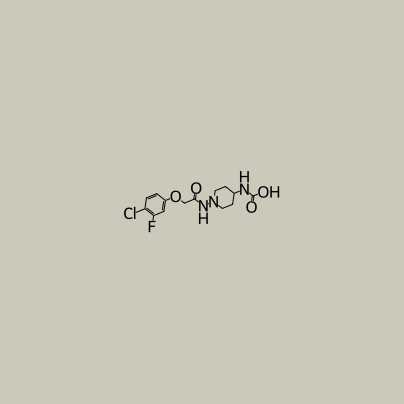 O=C(O)NC1CCN(NC(=O)COc2ccc(Cl)c(F)c2)CC1